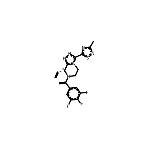 C=C[C@@H]1c2nnc(-c3nc(C)ns3)n2CCN1C(=C)c1cc(F)c(F)c(F)c1